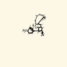 Cc1ccc(-c2cc(C#N)cc(/C=C3\CCCCNC3=O)c2C)cc1